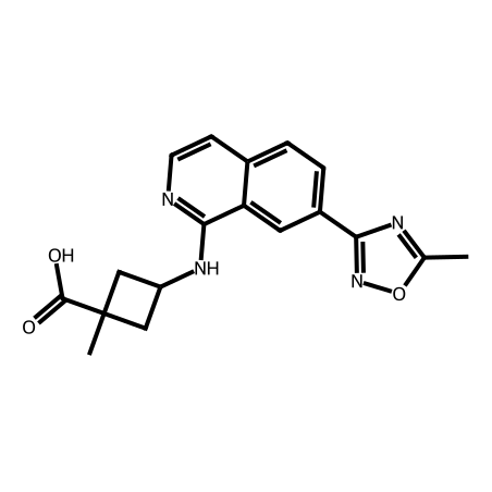 Cc1nc(-c2ccc3ccnc(NC4CC(C)(C(=O)O)C4)c3c2)no1